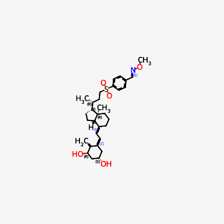 C=C1/C(=C\C=C2/CCC[C@]3(C)[C@@H]([C@H](C)CCS(=O)(=O)c4ccc(/C=N/OC)cc4)CC[C@@H]23)C[C@H](O)C[C@H]1O